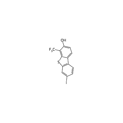 Oc1ccc2c(sc3cc(I)ccc32)c1C(F)(F)F